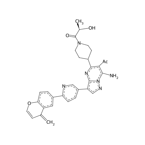 C=C1C=COc2ccc(-c3ccc(-c4cnn5c(N)c(C(C)=O)c(C6CCN(C(=O)[C@@H](C)O)CC6)nc45)cn3)cc21